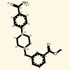 COC(=O)c1cccc(CN2CCN(c3ccc(C(N)=O)cc3)CC2)c1